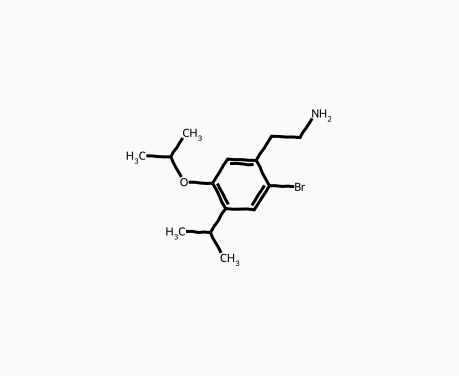 CC(C)Oc1cc(CCN)c(Br)cc1C(C)C